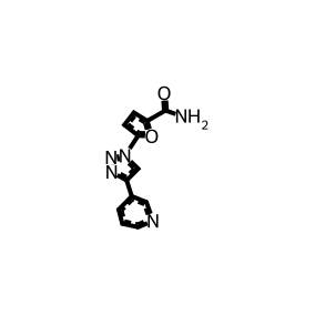 NC(=O)c1ccc(-n2cc(-c3cccnc3)nn2)o1